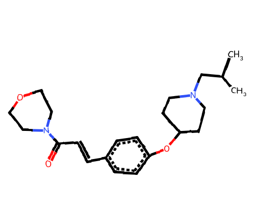 CC(C)CN1CCC(Oc2ccc(C=CC(=O)N3CCOCC3)cc2)CC1